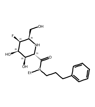 CCN(CCCc1ccccc1)C(=O)[C@H]1N[C@H](CO)[C@H](F)[C@H](O)[C@@H]1O